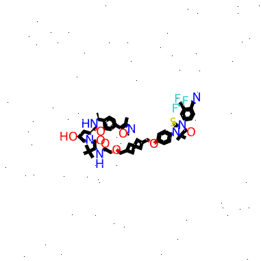 Cc1ncoc1-c1ccc([C@H](C)NC(=O)[C@@H]2C[C@@H](O)CN2C(=O)C(NC(=O)COCC2CC3(C2)CC(COc2ccc(N4C(=S)N(c5ccc(C#N)c(C(F)(F)F)c5)C(=O)C4(C)C)cc2)C3)C(C)(C)C)cc1